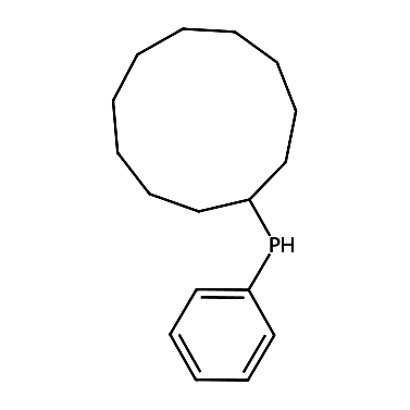 c1ccc(PC2CCCCCCCCCC2)cc1